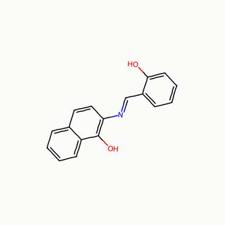 Oc1ccccc1/C=N/c1ccc2ccccc2c1O